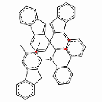 CC1=C(N(c2ccccc2-c2ccccc2)c2c(C)c(C)cc3c2Cc2ccccc2-3)C2(C=CC=C3C2=Cc2ccccc23)C2=Cc3ccccc3C2=C1